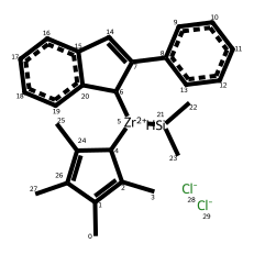 CC1=C(C)[CH]([Zr+2]([CH]2C(c3ccccc3)=Cc3ccccc32)[SiH](C)C)C(C)=C1C.[Cl-].[Cl-]